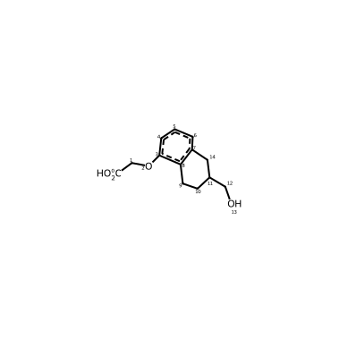 O=C(O)COc1cccc2c1CCC(CO)C2